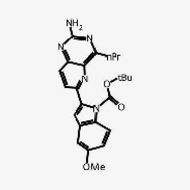 CCCc1nc(N)nc2ccc(-c3cc4cc(OC)ccc4n3C(=O)OC(C)(C)C)nc12